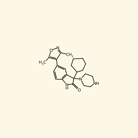 Cc1noc(C)c1-c1ccc2c(c1)C(C1CCCCC1)(N1CCNCC1)C(=O)N2